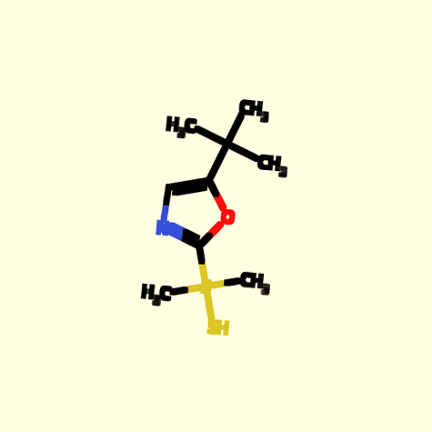 CC(C)(C)c1cnc(S(C)(C)S)o1